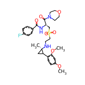 COc1ccc(C2C[C@@]2(C)NCCS(=O)(=O)C[C@@H](NC(=O)c2ccc(F)cc2)C(=O)N2CCOCC2)c(OC)c1